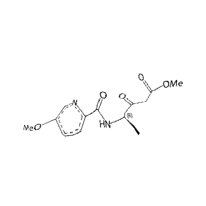 COC(=O)CC(=O)[C@@H](C)NC(=O)c1ccc(OC)cn1